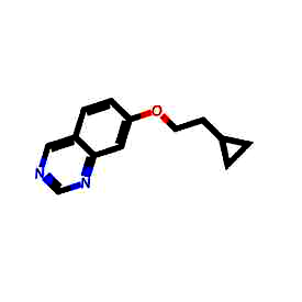 c1ncc2ccc(OCCC3CC3)cc2n1